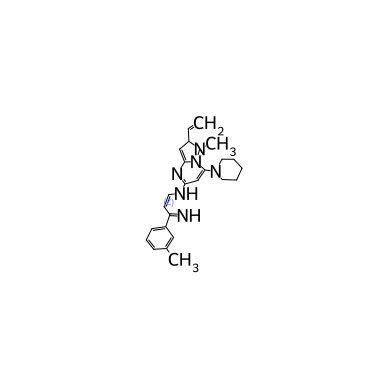 C=CC1C=C2N=C(N/C=C\C(=N)c3cccc(C)c3)C=C(N3CCCCC3)N2N1C